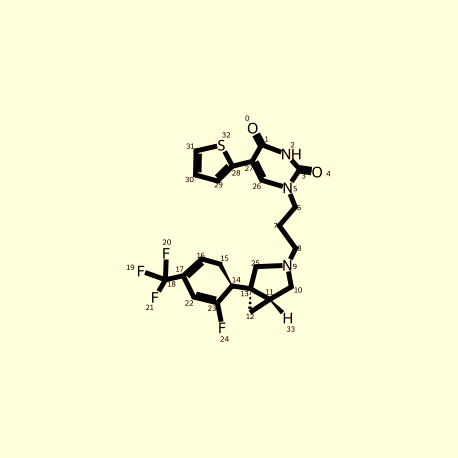 O=c1[nH]c(=O)n(CCCN2C[C@@H]3C[C@]3([C@@H]3CC=C(C(F)(F)F)C=C3F)C2)cc1-c1cccs1